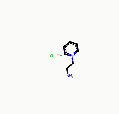 Cl.NCC[n+]1ccccc1.[Cl-]